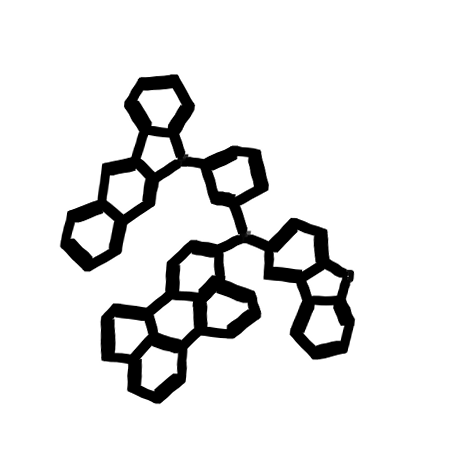 c1ccc(-c2cccc3cccc(-c4ccc(N(c5cccc(-n6c7ccccc7c7cc8ccccc8cc76)c5)c5ccc6oc7ccccc7c6c5)cc4)c23)cc1